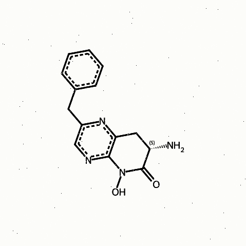 N[C@H]1Cc2nc(Cc3ccccc3)cnc2N(O)C1=O